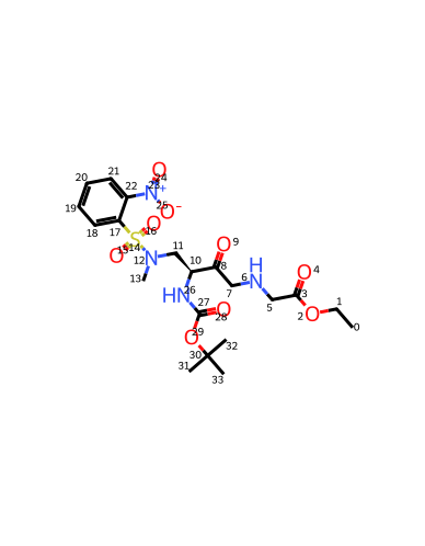 CCOC(=O)CNCC(=O)[C@H](CN(C)S(=O)(=O)c1ccccc1[N+](=O)[O-])NC(=O)OC(C)(C)C